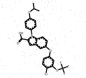 CC(C)Oc1ccc(-n2c(C(=O)O)cc3cc(Oc4ccc(Cl)c(OC(F)(F)F)c4)ccc32)cc1